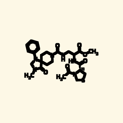 COC(=O)C(CNC(=O)N1CCC2(CC1)C(=O)N(C)CN2c1ccccc1)NC(=O)[C@@H]1CSCN1C(C)=O